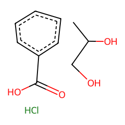 CC(O)CO.Cl.O=C(O)c1ccccc1